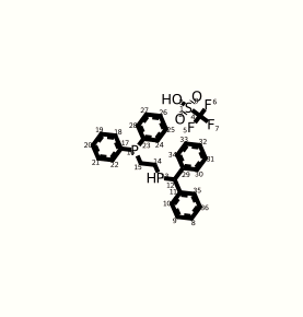 O=S(=O)(O)C(F)(F)F.c1ccc(C(PCCP(c2ccccc2)c2ccccc2)c2ccccc2)cc1